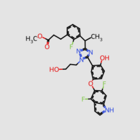 COC(=O)CCc1cccc(C(C)c2nc(-c3cc(Oc4c(F)cc5[nH]ccc5c4F)ccc3O)n(CCCO)n2)c1F